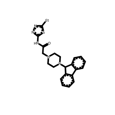 CCc1nnc(NC(=O)CN2CCN(C3c4ccccc4-c4ccccc43)CC2)s1